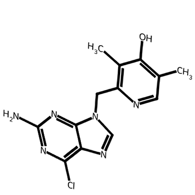 Cc1cnc(Cn2cnc3c(Cl)nc(N)nc32)c(C)c1O